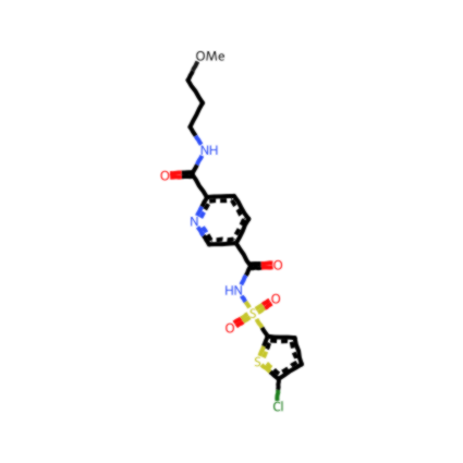 COCCCNC(=O)c1ccc(C(=O)NS(=O)(=O)c2ccc(Cl)s2)cn1